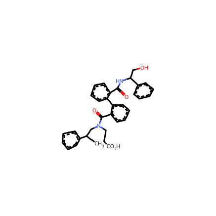 CC(CN(CCC(=O)O)C(=O)c1ccccc1-c1ccccc1C(=O)NC(CO)c1ccccc1)c1ccccc1